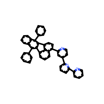 c1ccc(-c2c3c(c(-c4ccccc4)c4ccccc24)-c2ccc(-c4cc(-c5cccc(-c6ccccn6)n5)ccn4)c4cccc-3c24)cc1